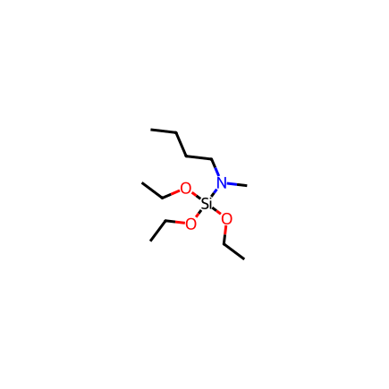 CCCCN(C)[Si](OCC)(OCC)OCC